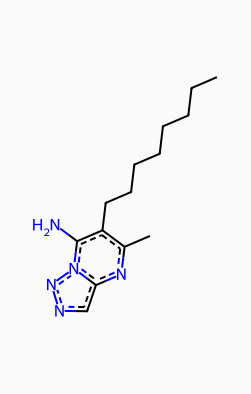 CCCCCCCCc1c(C)nc2cnnn2c1N